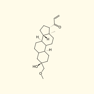 C=CC(=O)[C@H]1CC[C@H]2[C@@H]3CCC4C[C@@](O)(COC)CC[C@@H]4C3CC[C@]12C